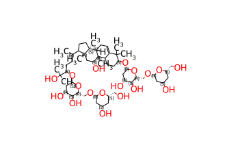 C[C@H](CC[C@@H](O[C@H]1C[C@@H](O)[C@H](O)[C@@H](CO[C@H]2C[C@@H](O)C[C@@H](CO)O2)O1)C(C)(C)O)C1CC[C@@]2(C)[C@@H]3CC=C4C(CC[C@H](O[C@H]5C[C@@H](O)[C@H](O)[C@@H](CO[C@H]6C[C@@H](O)C[C@@H](CO)O6)O5)C4(C)C)[C@]3(C)[C@H](O)C[C@]12C